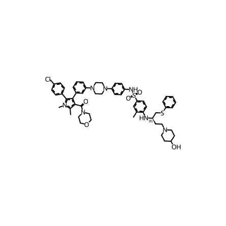 Cc1cc(S(=O)(=O)Nc2ccc(N3CCN(c4cccc(-c5c(C(=O)N6CCOCC6)c(C)n(C)c5-c5ccc(Cl)cc5)c4)CC3)cc2)ccc1N[C@H](CCN1CCC(O)CC1)CSc1ccccc1